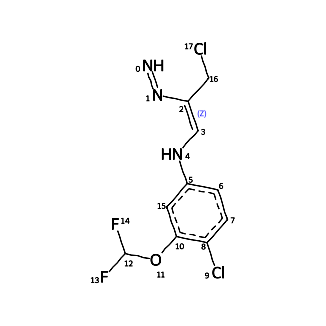 N=N/C(=C\Nc1ccc(Cl)c(OC(F)F)c1)CCl